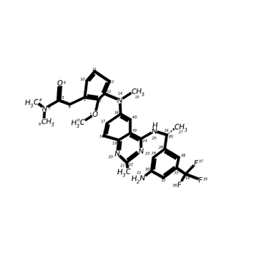 COc1c(CC(=O)N(C)C)cccc1N(C)c1ccc2nc(C)nc(N[C@H](C)c3cc(N)cc(C(F)(F)F)c3)c2c1